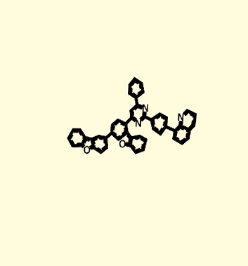 c1ccc(-c2cc(-c3ccc(-c4ccc5oc6ccccc6c5c4)c4oc5ccccc5c34)nc(-c3ccc(-c4cccc5cccnc45)cc3)n2)cc1